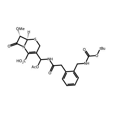 CO[C@H]1C(=O)N2C(C(=O)O)=C(C(NC(=O)Cc3ccccc3CNC(=O)OC(C)(C)C)OC(C)=O)CS[C@H]12